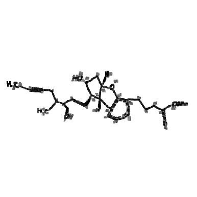 CC#CCC(C)[C@H](O)/C=C/[C@@H]1[C@H]2c3cccc(CCCC(=O)OC)c3O[C@H]2C[C@H]1O